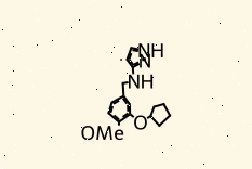 COc1ccc(CNc2[c]c[nH]n2)cc1OC1CCCC1